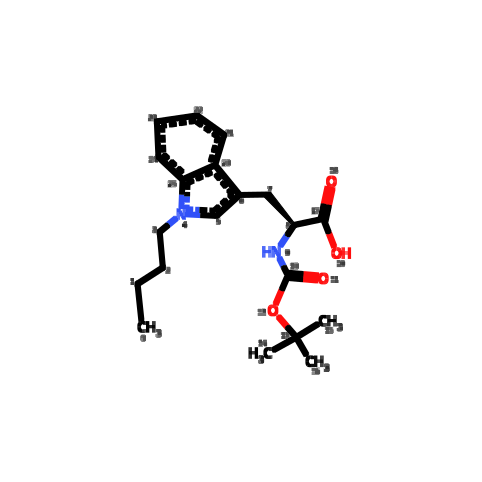 CCCCn1cc(C[C@H](NC(=O)OC(C)(C)C)C(=O)O)c2ccccc21